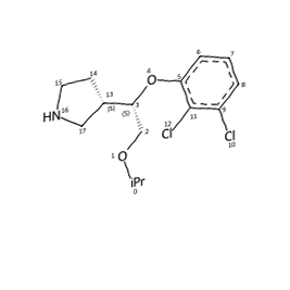 CC(C)OC[C@@H](Oc1cccc(Cl)c1Cl)[C@H]1CCNC1